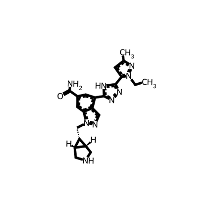 CCn1nc(C)cc1-c1nnc(-c2cc(C(N)=O)cc3c2cnn3C[C@@H]2[C@@H]3CNC[C@@H]32)[nH]1